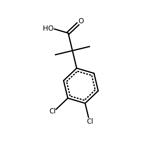 CC(C)(C(=O)O)c1ccc(Cl)c(Cl)c1